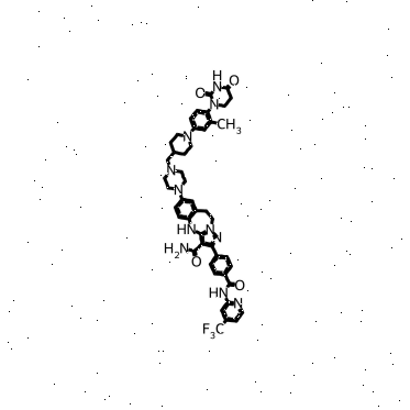 Cc1cc(N2CCC(CN3CCN(c4ccc5c(c4)CCn4nc(-c6ccc(C(=O)Nc7cc(C(F)(F)F)ccn7)cc6)c(C(N)=O)c4N5)CC3)CC2)ccc1N1CCC(=O)NC1=O